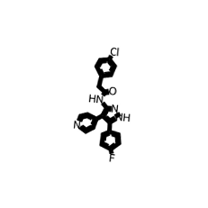 O=C(Cc1ccc(Cl)cc1)Nc1n[nH]c(-c2ccc(F)cc2)c1-c1ccncc1